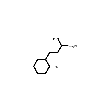 CCOC(=O)C(N)CCC1CCCCC1.Cl